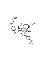 COc1cc(O)c(-c2c(NC(=O)c3ccc(OC(F)F)cc3)c(=O)n(-c3nc(NCCO)ccc3C(F)(F)F)n2C)c(F)c1